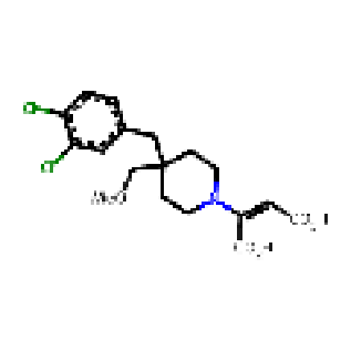 COCC1(Cc2ccc(Cl)c(Cl)c2)CCN(C(=CC(=O)O)C(=O)O)CC1